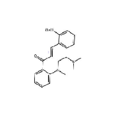 COc1ccccc1/C=C/C(=O)c1ccccc1N(C)CCN(C)C